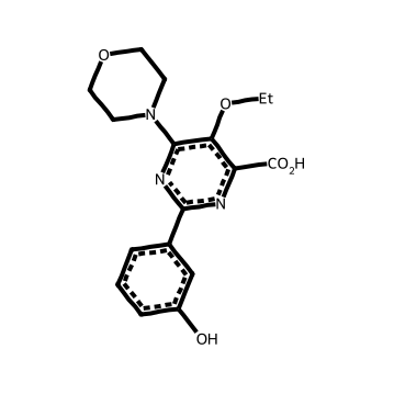 CCOc1c(C(=O)O)nc(-c2cccc(O)c2)nc1N1CCOCC1